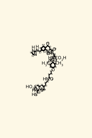 Cc1cc(OCCCC(=O)NCCC[C@H](C[C@H](CS(=O)(=O)O)NC(=O)CS)CS(=O)(=O)O)cc(C)c1S(=O)(=O)N[C@@H](CNC(=O)C1CC(=O)c2ccc(CNc3ncc[nH]3)cc2N1C)C(=O)O